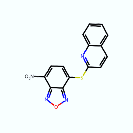 O=[N+]([O-])c1ccc(Sc2ccc3ccccc3n2)c2nonc12